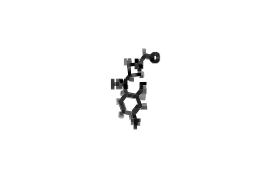 O=CN1CC(Nc2ccc(F)cc2F)C1